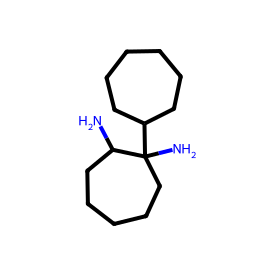 NC1CCCCCC1(N)C1CCCCCC1